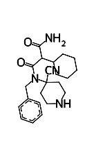 N#CC1(N(Cc2ccccc2)C(=O)C(C(N)=O)C2CCCCC2)CCNCC1